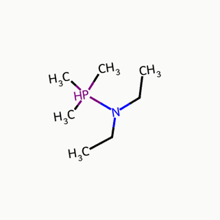 CCN(CC)[PH](C)(C)C